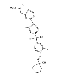 CCC(CC)(c1ccc(/C=C/C2(O)CCCCC2)c(C)c1)c1ccc(-c2cccc(CC(=O)OC)c2)c(C)c1